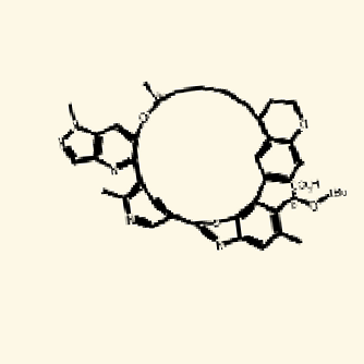 Cc1cc2nc3sc2c(c1[C@H](OC(C)(C)C)C(=O)O)-c1ccc2c(c1)C(CCCC[C@H](C)Oc1cc4c(cnn4C)nc1-c1cc-3cnc1C)CCO2